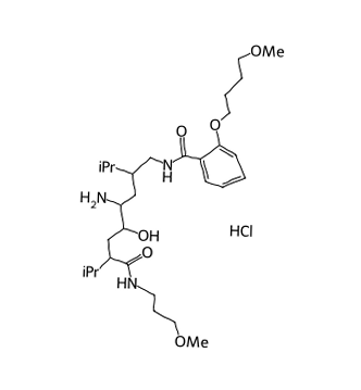 COCCCCOc1ccccc1C(=O)NCC(CC(N)C(O)CC(C(=O)NCCCOC)C(C)C)C(C)C.Cl